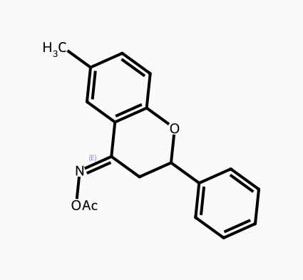 CC(=O)O/N=C1\CC(c2ccccc2)Oc2ccc(C)cc21